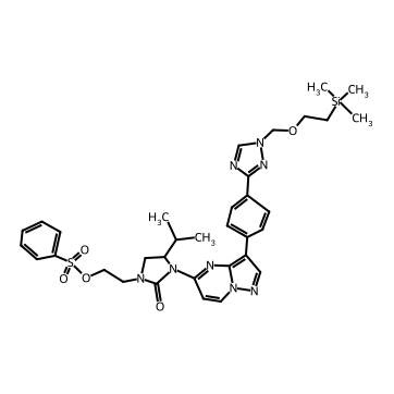 CC(C)C1CN(CCOS(=O)(=O)c2ccccc2)C(=O)N1c1ccn2ncc(-c3ccc(-c4ncn(COCC[Si](C)(C)C)n4)cc3)c2n1